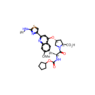 COc1ccc2c(O[C@@H]3C[C@@H](C(=O)O)N(C(=O)[C@@H](NC(=O)OC4CCCC4)C(C)C)C3)cc(-c3csc(NC(C)C)n3)nc2c1